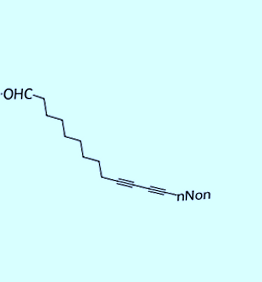 CCCCCCCCCC#CC#CCCCCCCCC[C]=O